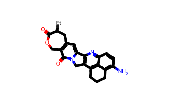 CCC1Cc2cc3n(c(=O)c2COC1=O)Cc1c-3nc2ccc(N)c3c2c1CCC3